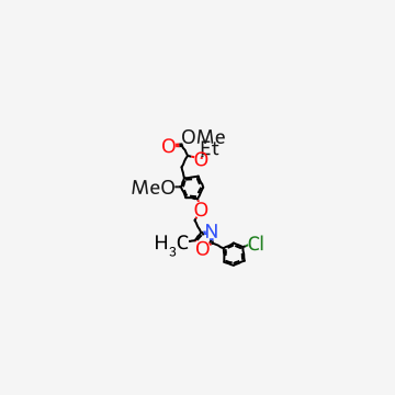 CCOC(Cc1ccc(OCc2nc(-c3cccc(Cl)c3)oc2C)cc1OC)C(=O)OC